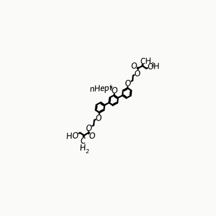 C=C(CO)C(=O)OCCOc1cccc(-c2ccc(-c3cccc(OCCOC(=O)C(=C)CO)c3)c(OCCCCCCC)c2)c1